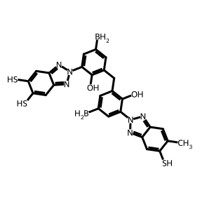 Bc1cc(Cc2cc(B)cc(-n3nc4cc(S)c(S)cc4n3)c2O)c(O)c(-n2nc3cc(C)c(S)cc3n2)c1